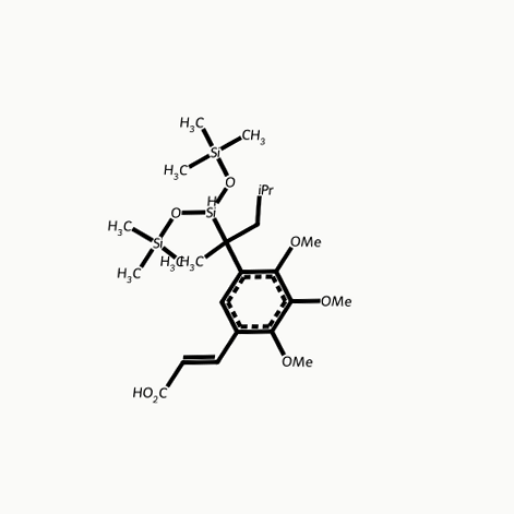 COc1c(C=CC(=O)O)cc(C(C)(CC(C)C)[SiH](O[Si](C)(C)C)O[Si](C)(C)C)c(OC)c1OC